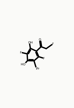 CC(C)c1c(O)c(F)c(O)c(C(=O)CF)c1F